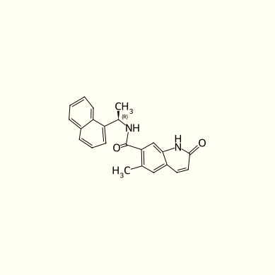 Cc1cc2ccc(=O)[nH]c2cc1C(=O)N[C@H](C)c1cccc2ccccc12